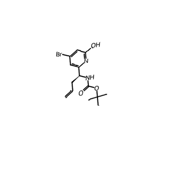 C=CC[C@H](NC(=O)OC(C)(C)C)c1cc(Br)cc(O)n1